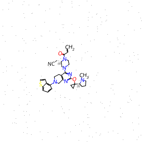 C=CC(=O)N1CCN(c2nc(OC3([C@@H]4CCCN4C)CC3)nc3c2CCN(c2cccc4sccc24)C3)C[C@@H]1CC#N